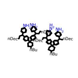 CCCCCCCCCCCC(c1ccc(N)cc1)c1ccc(C2(c3ccc(C(CCCCCCCCCCC)c4ccc(N)cc4)cc3)CCC(CCCC)CC2)cc1.CCCCCCCCCCCCC(c1ccc(N)cc1)c1ccc(C2(c3ccc(C(CCCCCCCCCCCC)c4ccc(N)cc4)cc3)CCC(CCCC)CC2)cc1